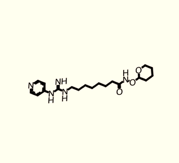 N=C(NCCCCCCCC(=O)NOC1CCCCO1)Nc1ccncc1